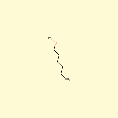 BCCCCCOC(C)C